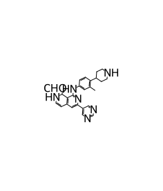 Cc1cc(Nc2nc(-c3cncnc3)cc3c2C(C=O)NC=C3)ccc1C1CCNCC1